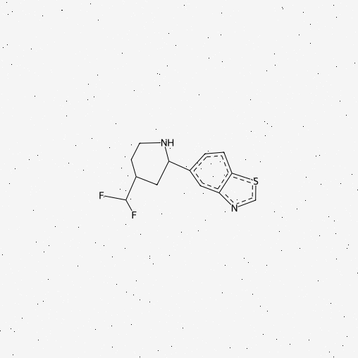 FC(F)C1CCNC(c2ccc3scnc3c2)C1